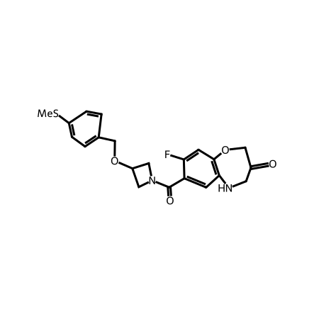 CSc1ccc(COC2CN(C(=O)c3cc4c(cc3F)OCC(=O)CN4)C2)cc1